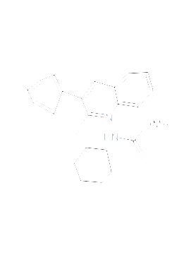 COC(=O)N[C@@H]1CCCC[C@@H]1Sc1nc2ccccc2cc1-c1ccccc1